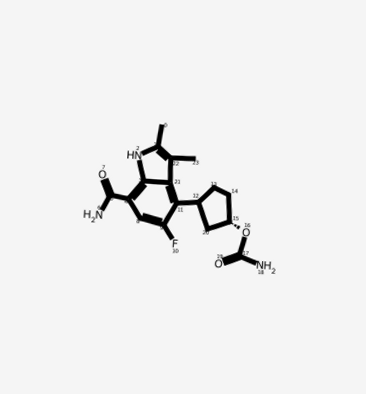 Cc1[nH]c2c(C(N)=O)cc(F)c(C3CC[C@H](OC(N)=O)C3)c2c1C